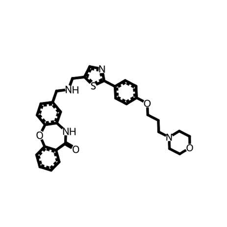 O=C1Nc2cc(CNCc3cnc(-c4ccc(OCCCN5CCOCC5)cc4)s3)ccc2Oc2ccccc21